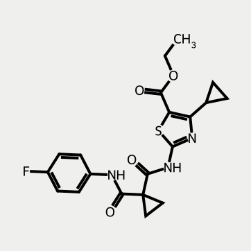 CCOC(=O)c1sc(NC(=O)C2(C(=O)Nc3ccc(F)cc3)CC2)nc1C1CC1